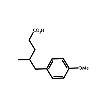 COc1ccc(CC(C)CCC(=O)O)cc1